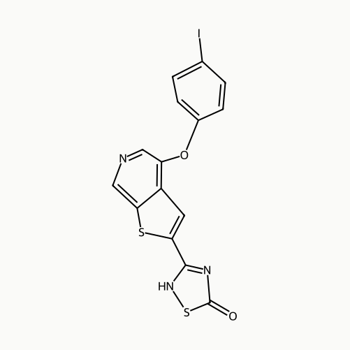 O=c1nc(-c2cc3c(Oc4ccc(I)cc4)cncc3s2)[nH]s1